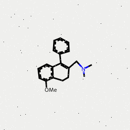 COc1cccc2c1CCC(CN(C)C)=C2c1ccccc1